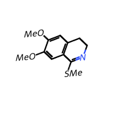 COc1cc2c(cc1OC)C(SC)=NCC2